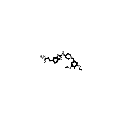 CCOc1cc(CN2CCC(Nc3nc4cc(CCC(N)=O)ccc4o3)CC2)cc(OCC)c1F